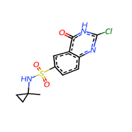 CC1(NS(=O)(=O)c2ccc3nc(Cl)[nH]c(=O)c3c2)CC1